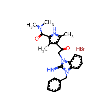 Br.Cc1[nH]c(C(=O)N(C)C)c(C)c1C(=O)Cn1c(=N)n(Cc2ccccc2)c2ccccc21